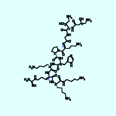 N=C(N)NCC/C=C(\NC(=O)[C@H](CCCCN)NC(=O)[C@H](Cc1cnc[nH]1)NC(=O)[C@@H]1CCCN1C(=O)/C(CCCN)=N/C(=O)CNC(=O)[C@@H](NC(=O)C[C@@H](O)CN)[C@@H](O)CN)C(=O)N[C@@H](CCCCN)C(=O)NCCCCN